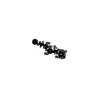 CC(=Cc1ccc(O[C@@H]2O[C@H](C(C)=C(F)COc3ccccc3)[C@@H](O)[C@@H]2O)c(O)c1)C(=O)N[C@@H]1[C@H](O)[C@@H](O)[C@H]2OCO[C@H]2[C@@H]1O